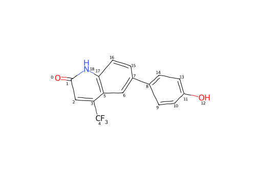 O=c1cc(C(F)(F)F)c2cc(-c3ccc(O)cc3)ccc2[nH]1